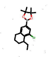 CCC1CCCc2cc(B3OC(C)(C)C(C)(C)O3)cc(Br)c21